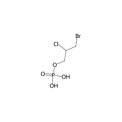 O=P(O)(O)OCC(Cl)CBr